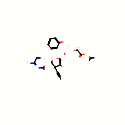 CC#C[C@@]1(F)C(O)[C@@H](CO[P@](=O)(Oc2ccccc2)O[C@@H](C)C(=O)OC(C)C)O[C@H]1n1ncc(N)nc1=O